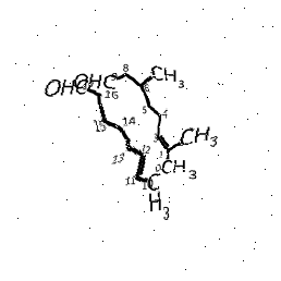 CC(C)=CCCC(C)CC=O.CC=CCCCCC=O